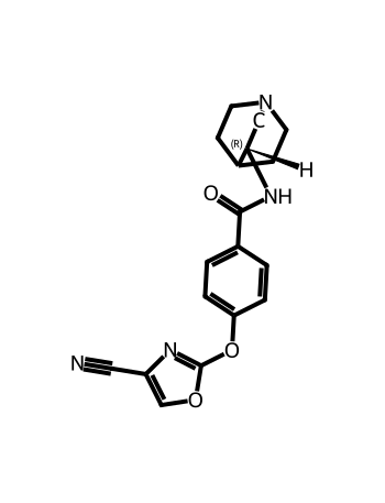 N#Cc1coc(Oc2ccc(C(=O)N[C@H]3CN4CCC3CC4)cc2)n1